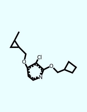 CC1CC1COc1ccnc(OCC2CCC2)c1Cl